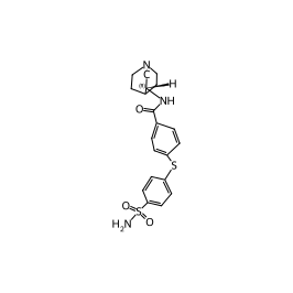 NS(=O)(=O)c1ccc(Sc2ccc(C(=O)N[C@H]3CN4CCC3CC4)cc2)cc1